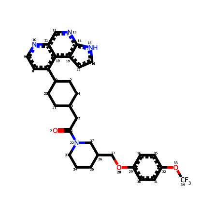 O=C(CC1CCC(c2ccnc3cnc4[nH]ccc4c23)CC1)N1CCCC(COc2ccc(OC(F)(F)F)cc2)C1